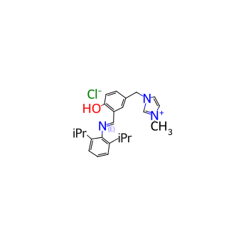 CC(C)c1cccc(C(C)C)c1/N=C/c1cc(Cn2cc[n+](C)c2)ccc1O.[Cl-]